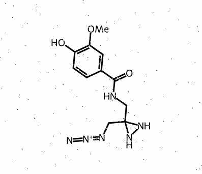 COc1cc(C(=O)NCC2(CN=[N+]=[N-])NN2)ccc1O